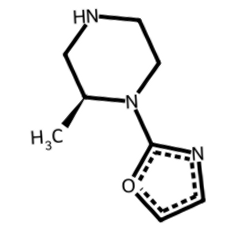 C[C@H]1CNCCN1c1ncco1